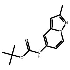 Cc1cc2cc(NC(=O)OC(C)(C)C)ccn2n1